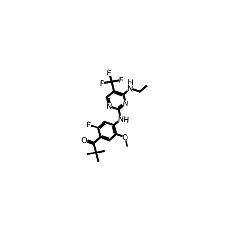 CCNc1nc(Nc2cc(F)c(C(=O)C(C)(C)C)cc2OC)ncc1C(F)(F)F